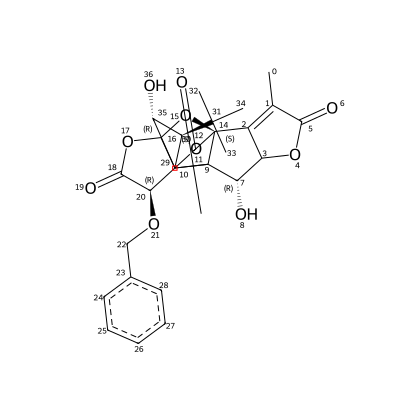 CC1=C2C(OC1=O)[C@H](O)C13C4OC(=O)[C@]21OC1OC(=O)[C@H](OCc2ccccc2)C13[C@H](C(C)(C)C)[C@H]4O